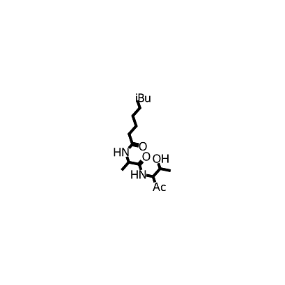 CCC(C)CCCCC(=O)NC(C)C(=O)NC(C(C)=O)C(C)O